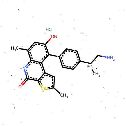 Cc1cc2c(s1)c(=O)[nH]c1c(C)cc(O)c(-c3ccc([C@@H](C)CN)cc3)c12.Cl